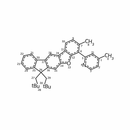 Cc1ccnc(-c2c(C)ccc3c2oc2cc4c(cc23)-c2ccccc2C4(CC(C)(C)C)CC(C)(C)C)c1